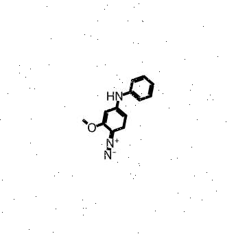 COC1=CC(Nc2ccccc2)=CCC1=[N+]=[N-]